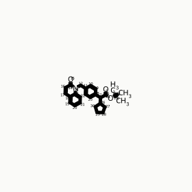 CC(C)(C)OC(=O)C(c1ccc(Cn2c(=O)ccc3ccccc32)cc1)C1CCCC1